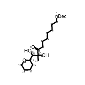 CCCCCCCCCCCCCCCCCC(=O)C(C)(O)C(O)C1CCCCO1